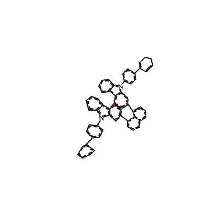 C1=CC(c2ccc(-n3c4ccccc4c4ccc(-c5cccc6cccc(-c7ccc8c9ccccc9n(-c9ccc(-c%10ccccc%10)cc9)c8c7)c56)cc43)cc2)=CCC1